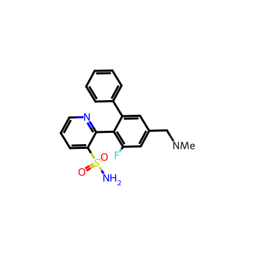 CNCc1cc(F)c(-c2ncccc2S(N)(=O)=O)c(-c2ccccc2)c1